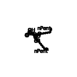 CCCCC/C=C\C/C=C\CCCCCCCCOC(=O)CCOCC(CN(C)CCN(CCO)C1CCCCCC1)OCCC(=O)OCCCCCCCC/C=C\C/C=C\CCCCC